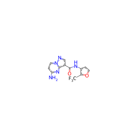 Nc1ccn2ncc(C(=O)Nc3ccoc3C(F)(F)F)c2n1